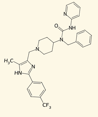 Cc1[nH]c(-c2ccc(C(F)(F)F)cc2)nc1CN1CCC(N(Cc2ccccc2)C(=O)Nc2ccccn2)CC1